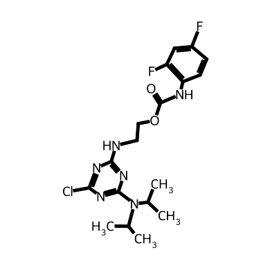 CC(C)N(c1nc(Cl)nc(NCCOC(=O)Nc2ccc(F)cc2F)n1)C(C)C